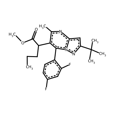 CCCC(C(=O)OC)c1c(C)nc2cc(C(C)(C)C)nn2c1-c1ccc(F)cc1F